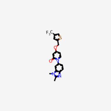 Cc1nc2ccc(-n3ccc(OCc4cc(C(F)(F)F)cs4)cc3=O)cc2n1C